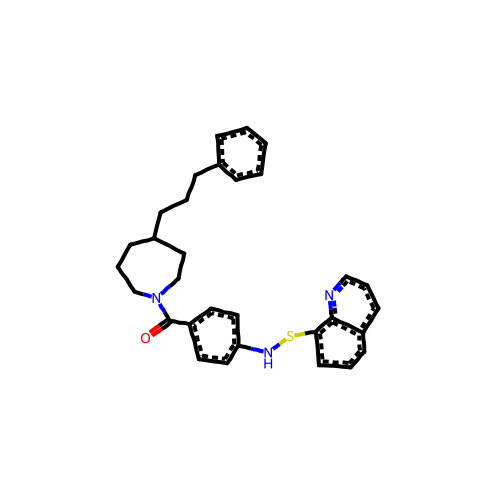 O=C(c1ccc(NSc2cccc3cccnc23)cc1)N1CCCC(CCCc2ccccc2)CC1